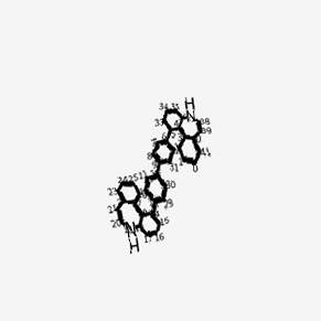 C1=CCC2=C3C(c4ccc(-c5ccc(C6=CC=CC7NC=CC8=CC=CCC8=C67)cc5)cc4)=CC=CC3NC=CC2=C1